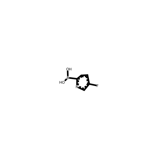 OB(O)c1ccc(F)cn1